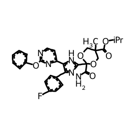 CC(C)OC(=O)C1(C)COC(C(N)=O)(c2nc(-c3ccc(F)cc3)c(-c3ccnc(Oc4ccccc4)n3)[nH]2)OC1